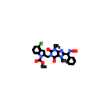 Cn1c(C(=NO)c2ccccc2)nc2c1c(=O)n(Cc1cc3c(Cl)cccc3n1C(=O)OC(C)(C)C)c(=O)n2C